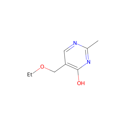 CCOCc1cnc(C)nc1O